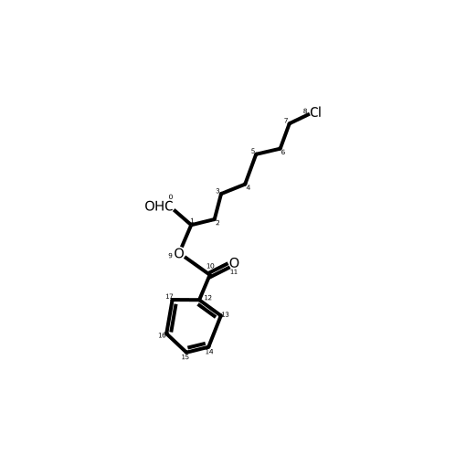 O=CC(CCCCCCCl)OC(=O)c1ccccc1